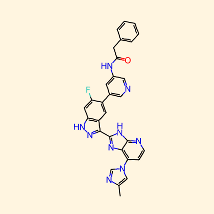 Cc1cn(-c2ccnc3[nH]c(-c4n[nH]c5cc(F)c(-c6cncc(NC(=O)Cc7ccccc7)c6)cc45)nc23)cn1